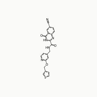 N#Cc1ccc2nc(C(=O)NCc3ccnc(OCc4ccsc4)c3)[nH]c(=O)c2c1